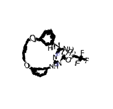 C=C(/N=C1\N=C(/N)Nc2cccc(c2)OCC=CCOc2cccc(c2)N1)OCC(F)(F)F